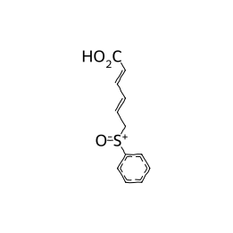 O=C(O)C=CC=CC[S+]([O-])c1ccccc1